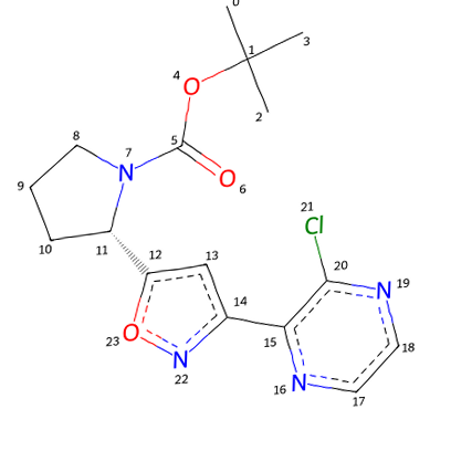 CC(C)(C)OC(=O)N1CCC[C@H]1c1cc(-c2nccnc2Cl)no1